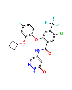 O=C(Nc1cn[nH]c(=O)c1)c1cc(Cl)c(C(F)(F)F)cc1Oc1ccc(F)cc1OC1CCC1